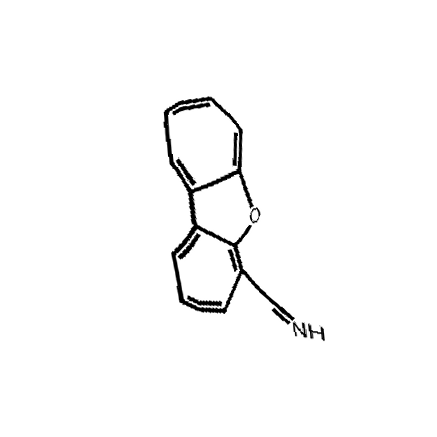 N=Cc1cccc2c1oc1ccccc12